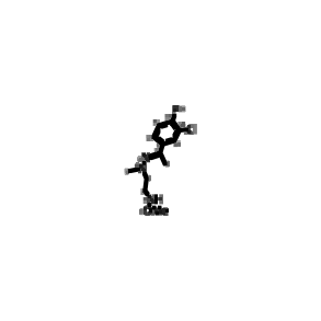 CONCCN(C)/N=C(\C)c1ccc(F)c(Cl)c1